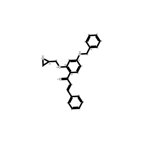 O=C(C=Cc1ccccc1)c1ccc(OCc2ccccc2)cc1OCC1CO1